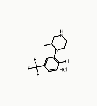 C[C@H]1CNCCN1c1cc(C(F)(F)F)ccc1Cl.Cl